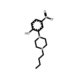 CCCCN1CCN(c2cc([N+](=O)[O-])ccc2O)CC1